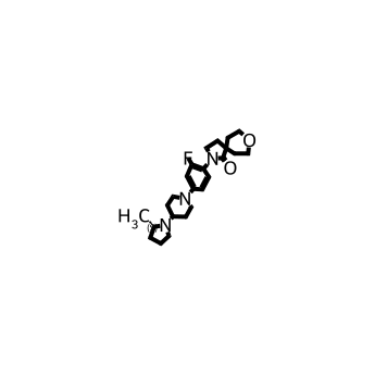 C[C@H]1CCCN1C1CCN(c2ccc(N3CCC4(CCOCC4)C3=O)c(F)c2)CC1